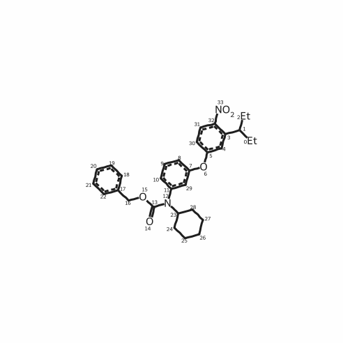 CCC(CC)c1cc(Oc2cccc(N(C(=O)OCc3ccccc3)C3CCCCC3)c2)ccc1[N+](=O)[O-]